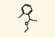 [CH2]c1ccccc1C([CH2])OCC